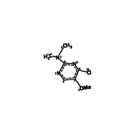 COc1cnc(N(C)C)nc1Cl